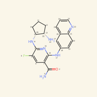 NC(=O)c1cc(F)c(N[C@@H]2CCC[C@@H]2N)nc1Nc1ccc2ncccc2c1